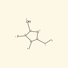 CCC1OC(O)C(F)C1C